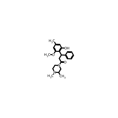 COc1cc(C)cc(O)c1C(CC(=O)N1CCN(C)C(C)C1)c1ccccc1